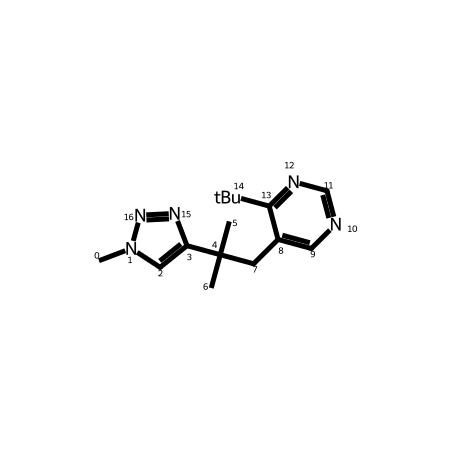 Cn1cc(C(C)(C)Cc2cncnc2C(C)(C)C)nn1